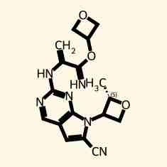 C=C(Nc1ncc2cc(C#N)n(C3CO[C@H]3C)c2n1)C(=N)OC1COC1